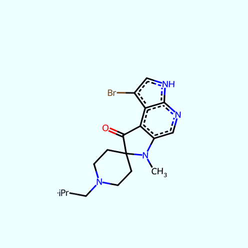 C[C](C)CN1CCC2(CC1)C(=O)c1c(cnc3[nH]cc(Br)c13)N2C